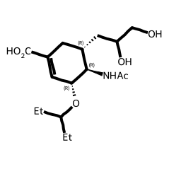 CCC(CC)O[C@@H]1C=C(C(=O)O)C[C@H](CC(O)CO)[C@H]1NC(C)=O